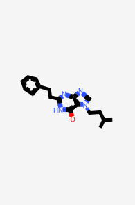 CC(C)CCn1cnc2nc(CCc3ccccc3)[nH]c(=O)c21